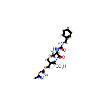 Cc1nnc(SCC2=C(C(=O)O)N3C(=O)C(NC(=O)NCc4ccccc4)[C@H]3SC2)s1